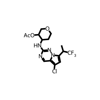 CC(=O)OC1COCCC1Nc1ncc2c(Cl)cc(C(C)C(F)(F)F)n2n1